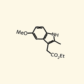 CCOC(=O)Cc1c(C)[nH]c2ccc(OC)cc12